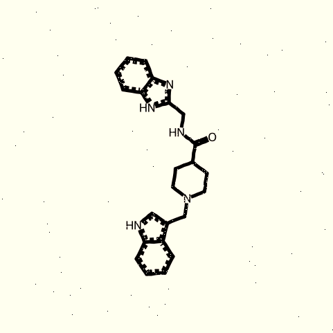 O=C(NCc1nc2ccccc2[nH]1)C1CCN(Cc2c[nH]c3ccccc23)CC1